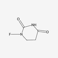 O=C1CCN(F)C(=O)N1